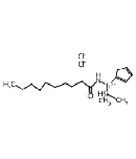 CCCCCCCCCC(=O)[NH][Ti+2]([C]1=CC=CC1)[SiH](C)C.[Cl-].[Cl-]